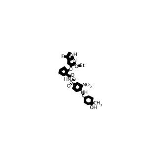 CCOc1nc2[nH]cc(F)c2cc1Oc1ccccc1C(=O)NS(=O)(=O)c1ccc(NCC2CCC(C)(O)CC2)c([N+](=O)[O-])c1